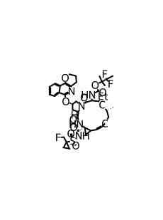 CC[C@@H]1C[C@H](C)CC/C=C\C2C[C@@]2(C(=O)NS(=O)(=O)C2(CF)CC2)NC(=O)[C@@H]2C[C@@H](Oc3nc4c(c5ccccc35)OCCC4)CN2C(=O)C1NC(=O)OC(C)(C)C(C)(F)F